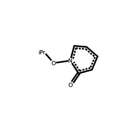 CC(C)On1ccccc1=O